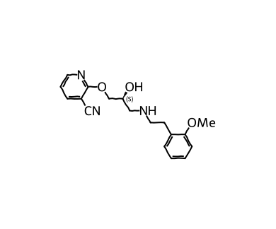 COc1ccccc1CCNC[C@H](O)COc1ncccc1C#N